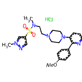 COc1ccc(-c2ncccc2N2CCN(CCN(C)S(=O)(=O)c3cnn(C)c3)CC2)cc1.Cl